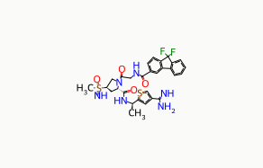 C[C@@H](NC(=O)[C@@H]1C[C@@H]([S@@](C)(=N)=O)CN1C(=O)CNC(=O)c1ccc2c(c1)-c1ccccc1C2(F)F)c1cc(C(=N)N)cs1